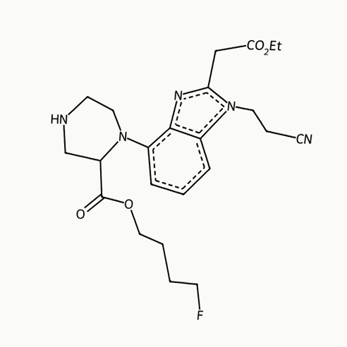 CCOC(=O)Cc1nc2c(N3CCNCC3C(=O)OCCCCF)cccc2n1CCC#N